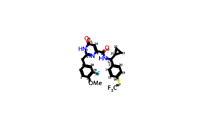 COc1ccc(Cc2nc(C(=O)NC(c3ccc(SC(F)(F)F)cc3)C3CC3)cc(=O)[nH]2)cc1F